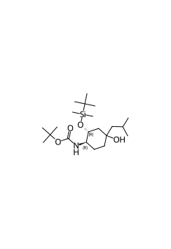 CC(C)CC1(O)CC[C@@H](NC(=O)OC(C)(C)C)[C@H](O[Si](C)(C)C(C)(C)C)C1